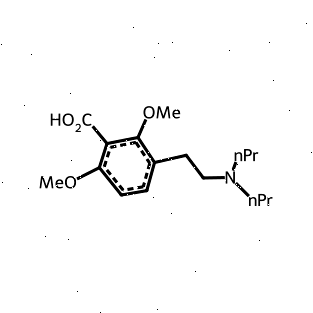 CCCN(CCC)CCc1ccc(OC)c(C(=O)O)c1OC